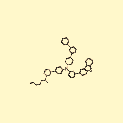 C=C/C=C\C=C(/C)c1cccc(-c2ccc(N(c3cccc(-c4ccc5sc6ccccc6c5c4)c3)[C@H]3C=CC(c4cccc(-c5ccccc5)c4)=CC3)cc2)c1